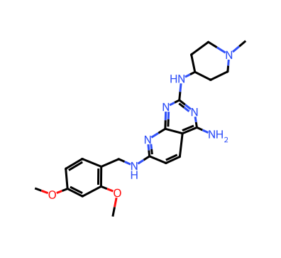 COc1ccc(CNc2ccc3c(N)nc(NC4CCN(C)CC4)nc3n2)c(OC)c1